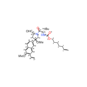 C=CCCCCCOC(=O)N[C@H](C(=O)N1C[C@](OC)(c2ccc3cc(OC)c(C=C)cc3c2)C[C@H]1C=O)C(C)(C)C